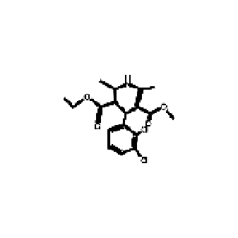 CCOC(=O)C1C(C)NC(C)=C(C(=O)OC)C1c1cccc(Cl)c1Cl